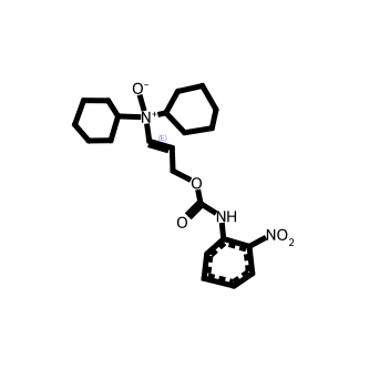 O=C(Nc1ccccc1[N+](=O)[O-])OC/C=C/[N+]([O-])(C1CCCCC1)C1CCCCC1